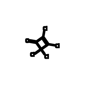 O=C1C(Cl)=C(Cl)C1(Cl)Cl